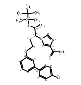 C[C@H](O[Si](C)(C)C(C)(C)C)[C@@H](CCOc1cccc(-c2ccc(Cl)nc2)c1)n1cnc(C(N)=O)c1